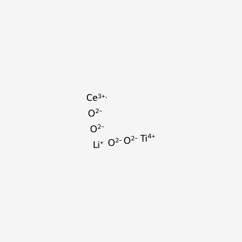 [Ce+3].[Li+].[O-2].[O-2].[O-2].[O-2].[Ti+4]